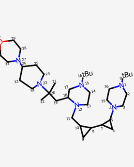 CC(C)(C)N1CCN(C2CC2C2CC2CN2CCN(C(C)(C)C)CC2CC(C)(C)N2CCC(N3CCOCC3)CC2)CC1